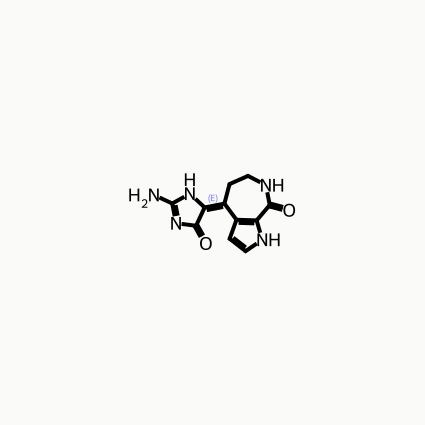 NC1=NC(=O)/C(=C2/CCNC(=O)c3[nH]ccc32)N1